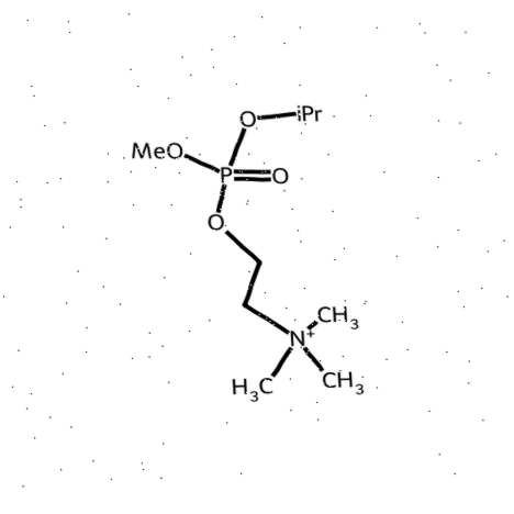 COP(=O)(OCC[N+](C)(C)C)OC(C)C